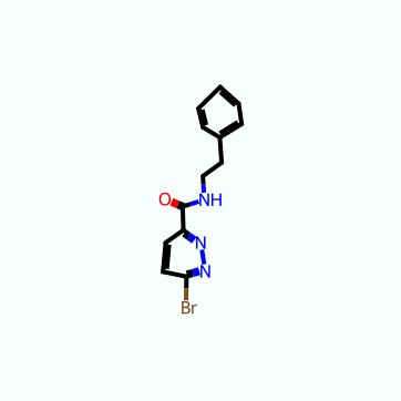 O=C(NCCc1ccccc1)c1ccc(Br)nn1